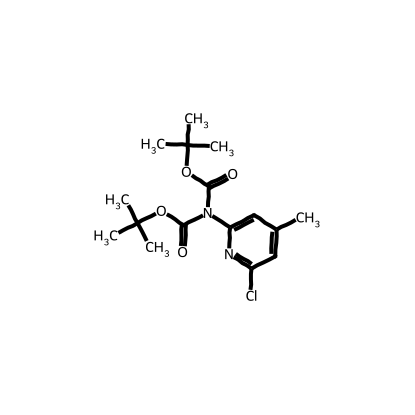 Cc1cc(Cl)nc(N(C(=O)OC(C)(C)C)C(=O)OC(C)(C)C)c1